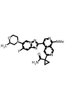 CNc1ncc(-c2nc3cc(F)c(N4CCOC(C)C4)cn3n2)c2cc(C3(C(N)=O)CC3)ncc12